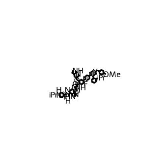 COc1ccc(CN2CCN(C3CCN(c4cc(Oc5cnc6[nH]ccc6c5)c(C(=O)NS(=O)(=O)c5cc(N)c(NCC6(F)CCN(C(C)C)CC6)c6[nH]cnc56)cc4F)CC3)C(c3ccccc3C(C)C)C2)cc1